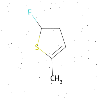 CC1=CCC(F)S1